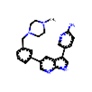 CN1CCN(Cc2cccc(-c3cnc4[nH]cc(-c5ccc(N)nc5)c4c3)c2)CC1